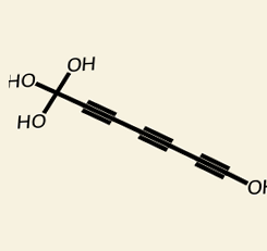 OC#CC#CC#CC(O)(O)O